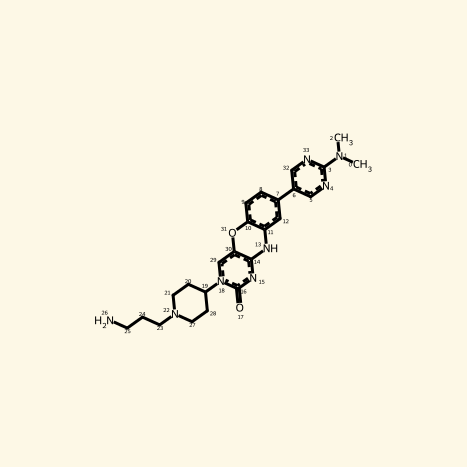 CN(C)c1ncc(-c2ccc3c(c2)Nc2nc(=O)n(C4CCN(CCCN)CC4)cc2O3)cn1